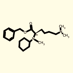 CN(C)CCCC[C@H](C(=O)OCc1ccccc1)N(C)C1CCCCC1